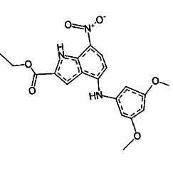 CCOC(=O)c1cc2c(Nc3cc(OC)cc(OC)c3)ccc([N+](=O)[O-])c2[nH]1